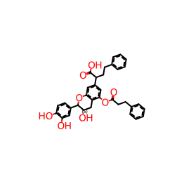 O=C(CCc1ccccc1)Oc1cc(C(CCc2ccccc2)C(=O)O)cc2c1C[C@H](O)C(c1ccc(O)c(O)c1)O2